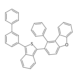 c1ccc(-c2cccc(-c3sc(-c4ccc5oc6ccccc6c5c4-c4ccccc4)c4ccccc34)c2)cc1